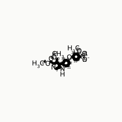 CCOC(=O)c1ncc2[nH]c3ccc(Oc4ccc([N+](=O)[O-])c(OC)c4)cc3c2c1COC